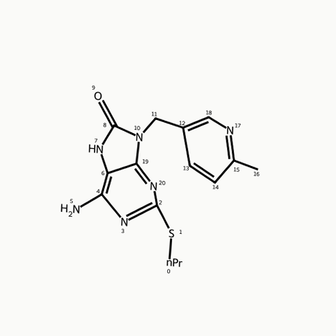 CCCSc1nc(N)c2[nH]c(=O)n(Cc3ccc(C)nc3)c2n1